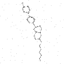 CCCCCCCC1CCC2CC(c3ccc(-c4ccc(Cl)cc4)cc3)CCC2C1